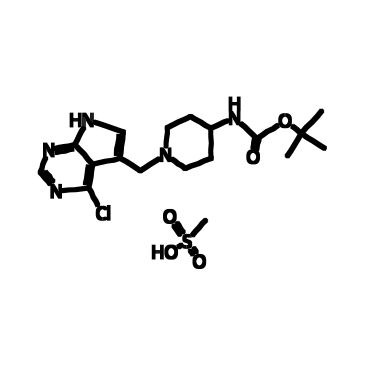 CC(C)(C)OC(=O)NC1CCN(Cc2c[nH]c3ncnc(Cl)c23)CC1.CS(=O)(=O)O